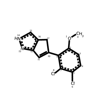 COc1ccc(Cl)c(Cl)c1C1=Cc2n[nH]cc2C1